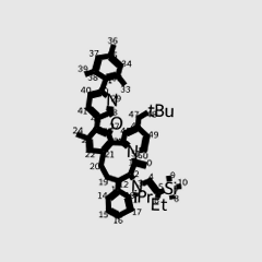 C=C1C(N(/C=C(\CC)[Si](C)(C)C)C(C)C)C(c2ccccc2)CCc2cc(C)c3c(oc4nc(-c5c(C)cc(C)cc5C)ccc43)c2-c2cc(CC(C)(C)C)cc[n+]21